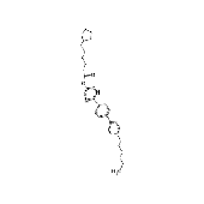 CCCCCCc1ccc(-c2ccc(-c3ncc(OC(=O)CCCCCC4CCCC4)cn3)cc2)cc1